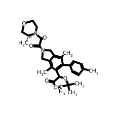 Cc1ccc(-c2c(C)c3c(c(C)c2C(OC(C)(C)C)C(=O)O)CN(C(=O)C(=O)N2CCOC[C@H]2C)C3)cc1